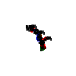 COCOc1cc(OS(=O)(=O)C(F)(F)F)ccc1-c1cc2sc(N(C)C3CCN(C(=O)OC(C)(C)C)CC3)nc2nn1